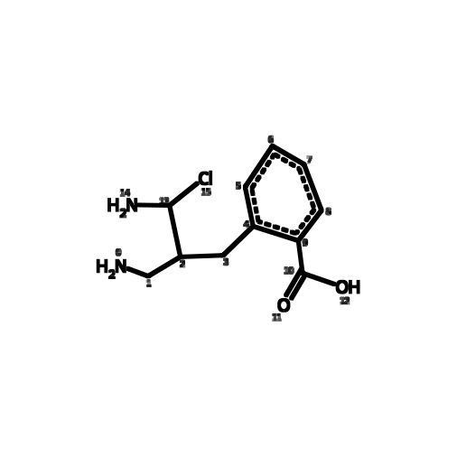 NCC(Cc1ccccc1C(=O)O)C(N)Cl